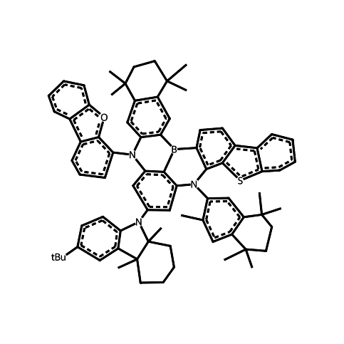 Cc1cc2c(cc1N1c3cc(N4c5ccc(C(C)(C)C)cc5C5(C)CCCCC45C)cc4c3B(c3cc5c(cc3N4c3cccc4c3oc3ccccc34)C(C)(C)CCC5(C)C)c3ccc4c(sc5ccccc54)c31)C(C)(C)CCC2(C)C